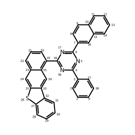 c1ccc(-c2nc(-c3ccc4ccccc4c3)nc(-c3cccc4cc5sc6ccccc6c5cc34)n2)cc1